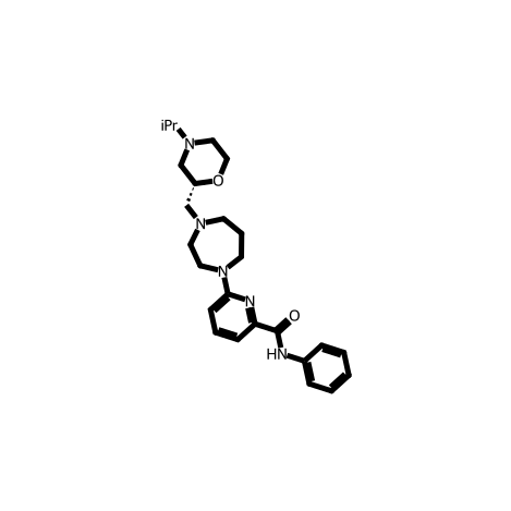 CC(C)N1CCO[C@H](CN2CCCN(c3cccc(C(=O)Nc4ccccc4)n3)CC2)C1